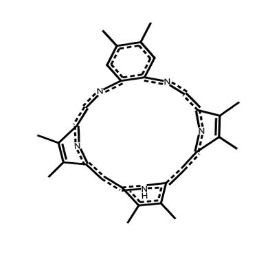 CC1=C(C)c2cc3[nH]c(cc4nc(cnc5cc(C)c(C)cc5ncc1n2)C(C)=C4C)c(C)c3C